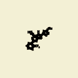 CC(C)(C)c1cc(-c2nc3cc(-c4ccccc4C(F)(F)F)nc(Cl)c3[nH]2)on1.Cl